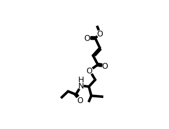 CCC(=O)NC(COC(=O)/C=C/C(=O)OC)C(C)C